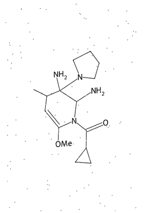 COC1=CC(C)C(N)(N2CCCC2)C(N)N1C(=O)C1CC1